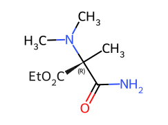 CCOC(=O)[C@@](C)(C(N)=O)N(C)C